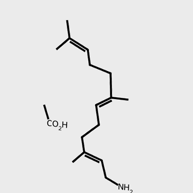 CC(=O)O.CC(C)=CCCC(C)=CCCC(C)=CCN